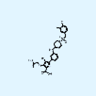 O=C(O)COc1c(C(=O)O)sc(-c2cccc(NC3CCN(S(=O)(=O)Cc4ccc(Cl)c(Cl)c4)CC3)c2)c1Br